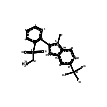 Cn1c(-c2ncccc2S(=O)(=O)CN)nc2cc(C(F)(F)F)ncc21